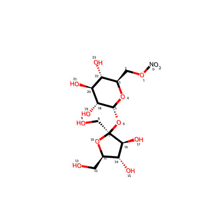 O=[N+]([O-])OC[C@H]1O[C@H](O[C@]2(CO)O[C@H](CO)[C@@H](O)[C@@H]2O)[C@H](O)[C@@H](O)[C@@H]1O